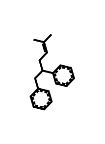 CC(C)=CCC(Cc1ccccc1)c1ccccc1